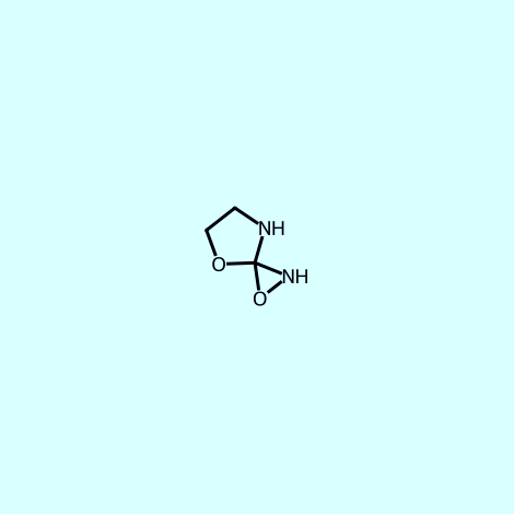 C1COC2(N1)NO2